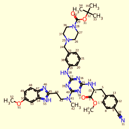 COC(=O)[C@H](Cc1ccc(C#N)cc1)Nc1nc(Nc2cccc(CN3CCN(C(=O)OC(C)(C)C)CC3)c2)nc(N(C)CCc2nc3ccc(OC)cc3[nH]2)n1